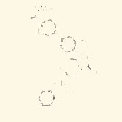 CNC(=O)c1ccc(-c2ccc3c(c2)CC[C@@]32OC(=O)N(CC(=O)N(Cc3ccc(F)cc3)C(C)C(F)(F)F)C2=O)cn1